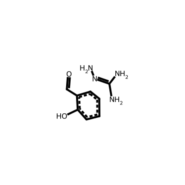 NN=C(N)N.O=Cc1ccccc1O